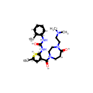 CN(C)CCN1CCN(C(=O)c2cc(C(C)(C)C)sc2NC(=O)Nc2ccccc2C(C)(C)C)CCC1=O